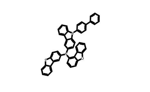 c1ccc(-c2ccc(-n3c4ccccc4c4cc(N(c5ccc6sc7ccccc7c6c5)c5cccc6oc7ccccc7c56)ccc43)cc2)cc1